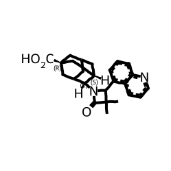 CC1(C)C(=O)N([C@@H]2C3CC4C[C@H]2C[C@@](C(=O)O)(C4)C3)C1c1cccc2ncccc12